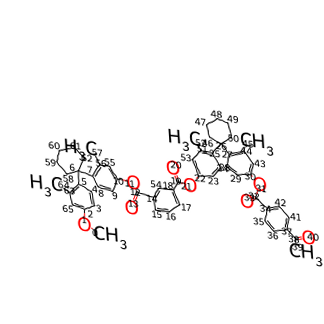 COc1ccc(C2(c3ccc(OC(=O)c4cccc(C(=O)Oc5ccc(C6(c7ccc(OC(=O)c8ccc(C(C)=O)cc8)cc7C)CCCCC6)c(C)c5)c4)cc3C)CCCCC2)c(C)c1